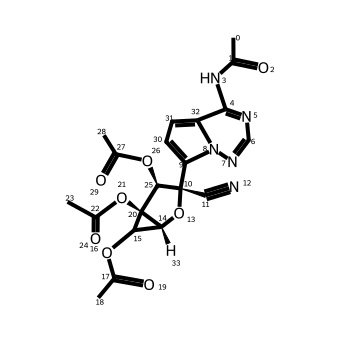 CC(=O)Nc1ncnn2c([C@]3(C#N)O[C@@H]4C(OC(C)=O)[C@]4(OC(C)=O)[C@H]3OC(C)=O)ccc12